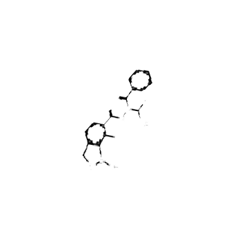 CCC(N(NC(=O)c1ccc2c(c1F)B(O)OC2)C(=O)c1ccccc1)C(C)(C)C